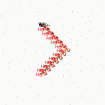 O=[P-](O)O.O=[P-](O)O.O=[P-](O)O.O=[P-](O)O.O=[P-](O)O.O=[P-](O)O.O=[P-](O)O.O=[P-](O)O.O=[P-](O)O.O=[P-](O)O.O=[P-](O)O.O=[P-](O)O.[Mo+6].[W+6]